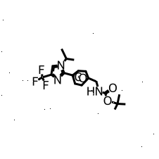 CC(C)n1cc(C(F)(F)F)nc1C12CCC(CNC(=O)OC(C)(C)C)(CC1)OC2